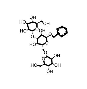 OC[C@H]1O[C@H](OC[C@H]2O[C@H](OCc3ccccc3)[C@@H](O)[C@@H](O[C@H]3O[C@H](CO)[C@@H](O)[C@H](O)[C@@H]3O)[C@@H]2O)[C@@H](O)[C@@H](O)[C@@H]1O